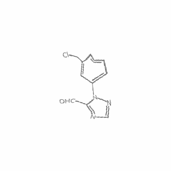 O=Cc1ncnn1-c1cccc(Cl)c1